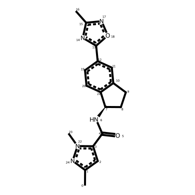 Cc1cc(C(=O)N[C@@H]2CCc3cc(-c4nc(C)no4)ccc32)n(C)n1